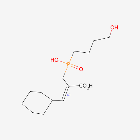 O=C(O)/C(=C/C1CCCCC1)CP(=O)(O)CCCCO